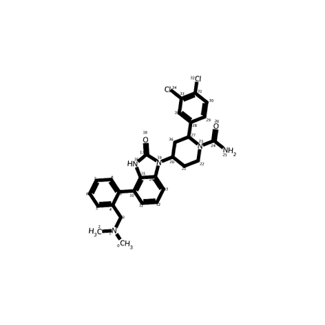 CN(C)Cc1ccccc1-c1cccc2c1[nH]c(=O)n2C1CCN(C(N)=O)C(c2ccc(Cl)c(Cl)c2)C1